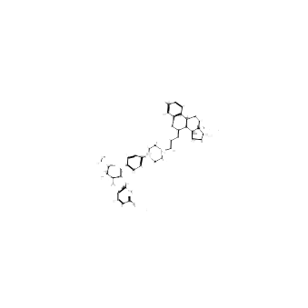 C[C@]12CCC3c4ccc(O)cc4CC(CCCN4CCN(c5ccc([C@H]6O[C@H](CO)[C@H](O)[C@H](O)[C@H]6Oc6cccc(C(F)(F)F)n6)cc5)CC4)C3C1CC[C@@H]2O